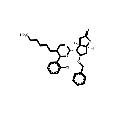 O=C(O)CCC=CCC1COC([C@@H]2[C@H]3CC(=O)O[C@H]3C[C@H]2OCc2ccccc2)OC1c1ccccc1O